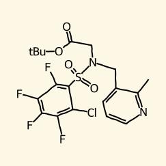 Cc1ncccc1CN(CC(=O)OC(C)(C)C)S(=O)(=O)c1c(F)c(F)c(F)c(F)c1Cl